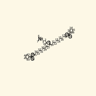 C=C(CCCN(C)C)OC(CCCCCCCCCOC(=O)C1CCCC1)CCCCCCCCCOC(=O)C1CCCC1